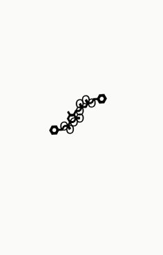 CC1=C(COC(=O)CC(=O)OCc2ccccc2)C(=O)OC(C(=O)OCc2ccccc2)C1